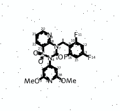 COc1cc(N2C(=O)N(Cc3c(F)cc(F)cc3F)c3ncccc3S2(=O)=O)cc(OC)n1